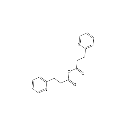 O=C(CCc1ccccn1)OC(=O)CCc1ccccn1